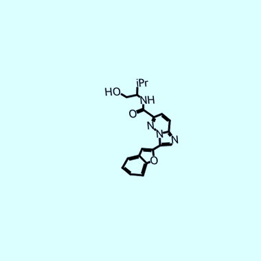 CC(C)C(CO)NC(=O)c1ccc2ncc(-c3cc4ccccc4o3)n2n1